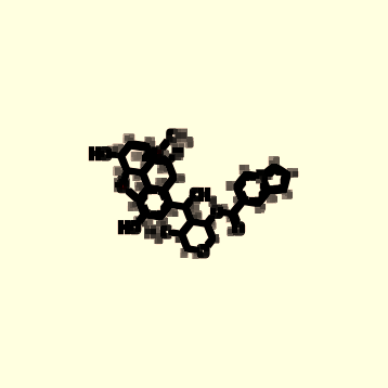 CC1COCC(OC(=O)c2ccn3cccc3c2)C1C(C)c1cc(O)c2c3c1C[C@@H]1[C@@H]4C=C[C@H](O)[C@H](O2)[C@]34CCN1C